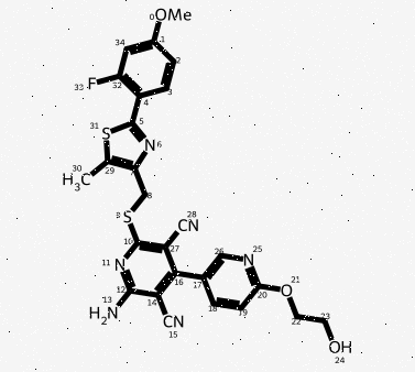 COc1ccc(-c2nc(CSc3nc(N)c(C#N)c(-c4ccc(OCCO)nc4)c3C#N)c(C)s2)c(F)c1